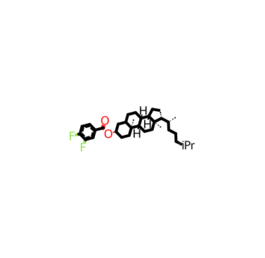 CC(C)CCC[C@@H](C)[C@H]1CC[C@H]2[C@@H]3CCC4C[C@@H](OC(=O)c5ccc(F)c(F)c5)CC[C@]4(C)[C@H]3CC[C@]12C